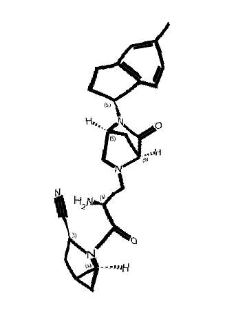 Cc1ccc2c(c1)CC[C@@H]2N1C(=O)[C@@H]2C[C@H]1CN2C[C@H](N)C(=O)N1[C@H](C#N)CC2C[C@@H]21